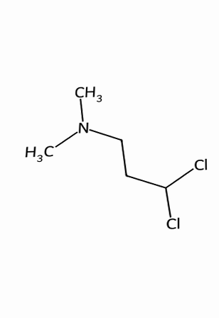 CN(C)CCC(Cl)Cl